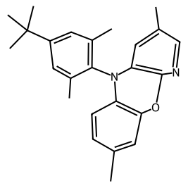 Cc1ccc2c(c1)Oc1ncc(C)cc1N2c1c(C)cc(C(C)(C)C)cc1C